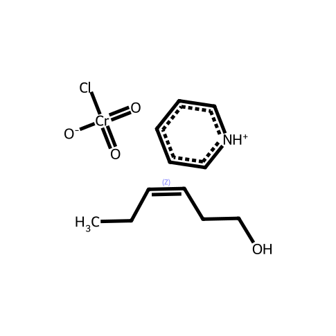 CC/C=C\CCO.[O]=[Cr](=[O])([O-])[Cl].c1cc[nH+]cc1